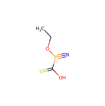 CCOP(#N)C(O)=S